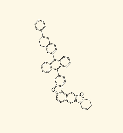 C1=Cc2c(oc3cc4c(ccc5oc6cc(-c7c8ccccc8c(-c8ccc9c(c8)CCC(c8ccccc8)=C9)c8ccccc78)ccc6c54)cc23)CC1